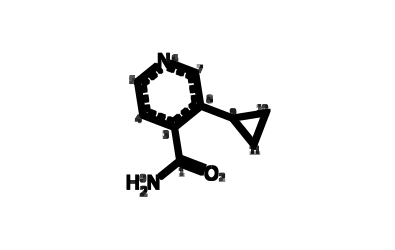 NC(=O)c1ccncc1C1CC1